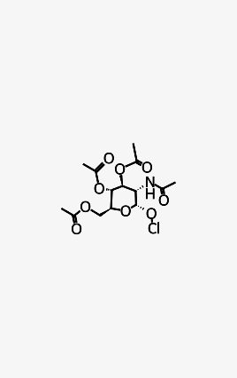 CC(=O)N[C@@H]1[C@H](OCl)O[C@@H](COC(C)=O)[C@H](OC(C)=O)[C@H]1OC(C)=O